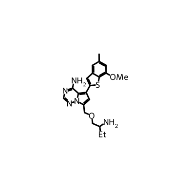 CCC(N)COCc1cc(-c2cc3cc(C)cc(OC)c3s2)c2c(N)ncnn12